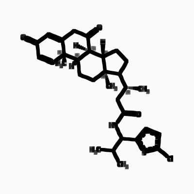 CC(C)C(NC(=O)C[C@@H](C)C1CC[C@H]2[C@@H]3C(=O)CC4=CC(=O)C=C[C@]4(C)[C@H]3CC[C@]12C)c1ccc(Cl)s1